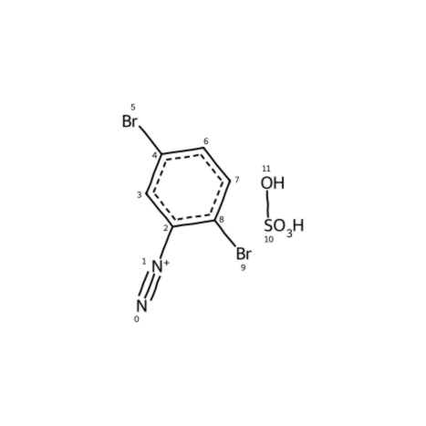 N#[N+]c1cc(Br)ccc1Br.O=S(=O)(O)O